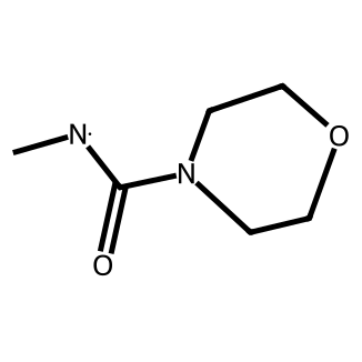 C[N]C(=O)N1CCOCC1